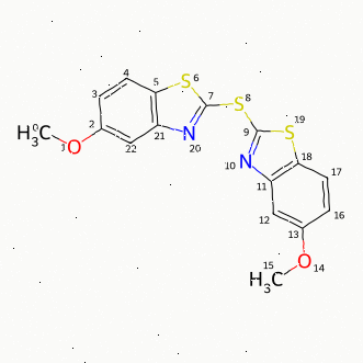 COc1ccc2sc(Sc3nc4cc(OC)ccc4s3)nc2c1